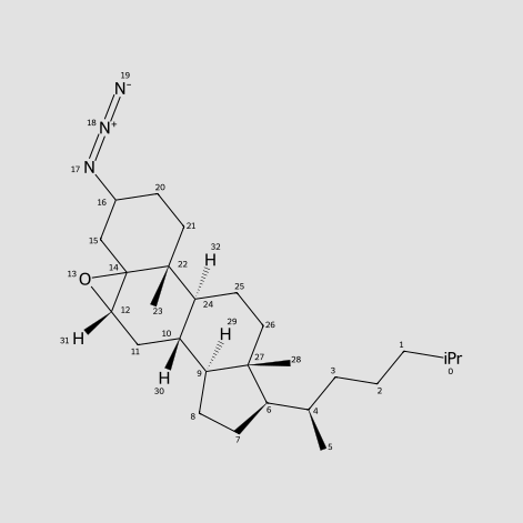 CC(C)CCC[C@@H](C)[C@H]1CC[C@H]2[C@@H]3C[C@@H]4OC45CC(N=[N+]=[N-])CC[C@]5(C)[C@H]3CC[C@]12C